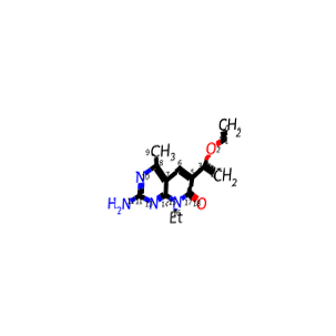 C=COC(=C)c1cc2c(C)nc(N)nc2n(CC)c1=O